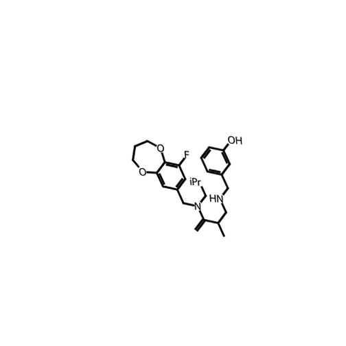 C=C(C(C)CNCc1cccc(O)c1)N(Cc1cc(F)c2c(c1)OCCCO2)CC(C)C